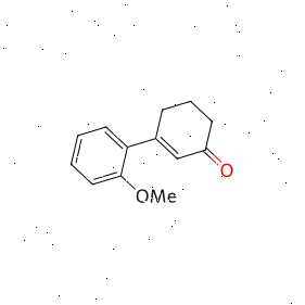 COc1ccccc1C1=CC(=O)CCC1